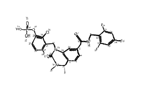 C[C@H]1c2ccc(C(=O)NCc3c(F)cc(F)cc3F)cc2N(Cc2c(F)ccc(OP(=O)(O)O)c2Cl)C(=O)N1C